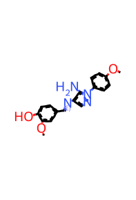 COc1ccc(-n2ncc(/N=C/c3ccc(O)c(OC)c3)c2N)cc1